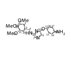 COc1cc(CNc2cncc(Oc3ccc(N)cc3)n2)cc(OC)c1OC